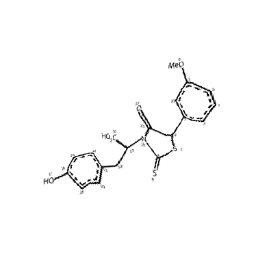 COc1cccc(C2SC(=S)N(C(Cc3ccc(O)cc3)C(=O)O)C2=O)c1